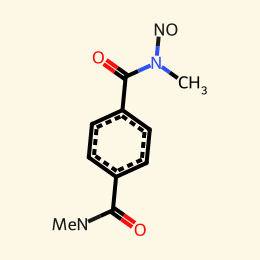 CNC(=O)c1ccc(C(=O)N(C)N=O)cc1